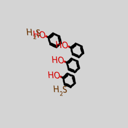 Oc1ccccc1.Oc1ccccc1.Oc1ccccc1.Oc1ccccc1.S.S